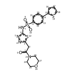 O=C(Cc1nnc(NS(=O)(=O)c2ccc(-c3cccs3)cc2)s1)N1CCOCC1